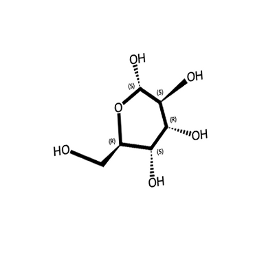 OC[C@H]1O[C@H](O)[C@@H](O)[C@H](O)[C@@H]1O